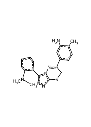 Cc1ccc(C2=Nn3c(nnc3-c3ccccc3N(C)C)SC2)cc1N